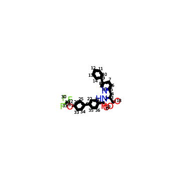 O=C(NC(Cc1ccc(-c2ccccc2)cn1)C(=O)O)c1ccc(-c2ccc(OC(F)(F)F)cc2)cc1